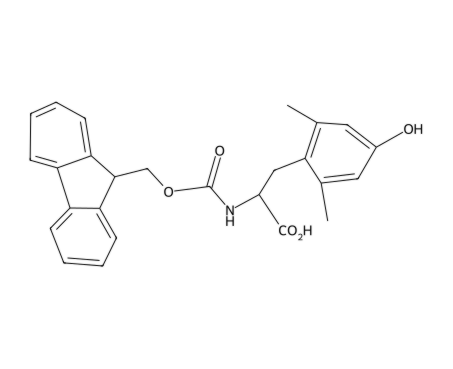 Cc1cc(O)cc(C)c1CC(NC(=O)OCC1c2ccccc2-c2ccccc21)C(=O)O